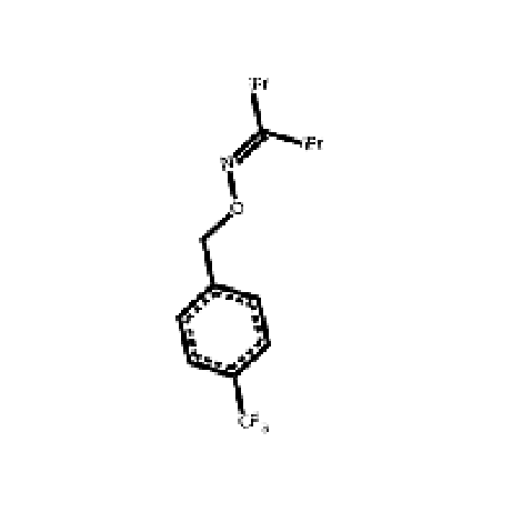 CC(C)C(=NOCc1ccc(C(F)(F)F)cc1)C(C)C